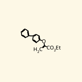 C=C(Oc1ccc(-c2ccccc2)cc1)C(=O)OCC